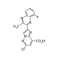 CCOC(=O)c1cc(Cl)nn2cc(-c3nc4c(F)cccc4nc3C)nc12